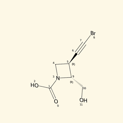 O=C(O)N1C[C@@H](C#CBr)[C@@H]1CO